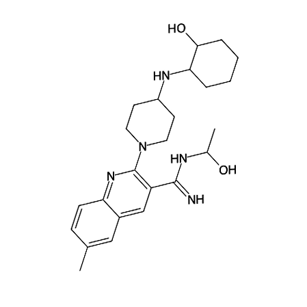 Cc1ccc2nc(N3CCC(NC4CCCCC4O)CC3)c(C(=N)NC(C)O)cc2c1